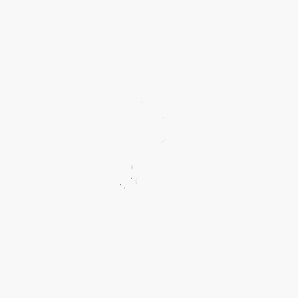 COc1ccc(-c2nn(C)cc2C)cc1Cl